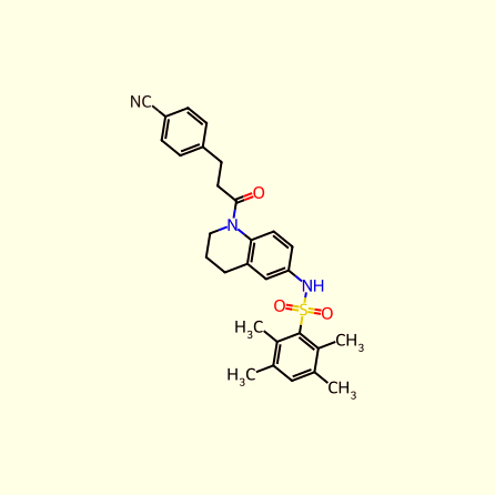 Cc1cc(C)c(C)c(S(=O)(=O)Nc2ccc3c(c2)CCCN3C(=O)CCc2ccc(C#N)cc2)c1C